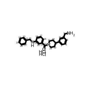 Cl.Cl.NCc1cccc(C2CCN(C(=O)c3cccc(NCc4ccccc4)c3)CC2)c1